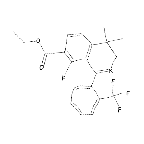 CCOC(=O)c1ccc2c(c1F)C(c1ccccc1C(F)(F)F)=NCC2(C)C